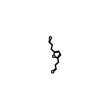 O=CCCc1ccc(CCC=O)o1